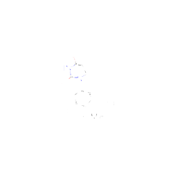 COc1c(C)cc(-n2ccc(=O)[nH]c2=O)cc1C(C)(C)C